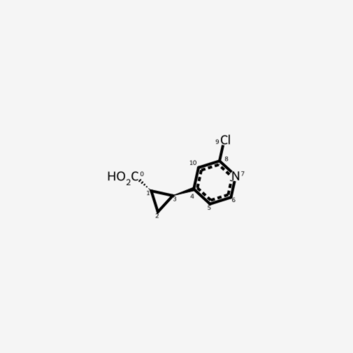 O=C(O)[C@H]1C[C@@H]1c1ccnc(Cl)c1